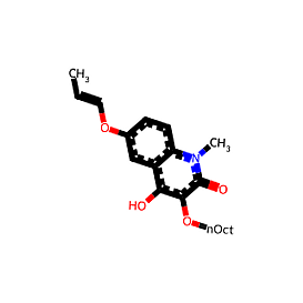 CC=COc1ccc2c(c1)c(O)c(OCCCCCCCC)c(=O)n2C